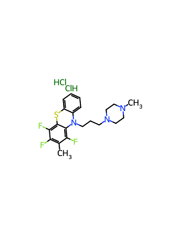 Cc1c(F)c(F)c2c(c1F)N(CCCN1CCN(C)CC1)c1ccccc1S2.Cl.Cl